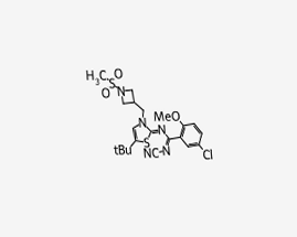 COc1ccc(Cl)cc1C(=NC#N)N=c1sc(C(C)(C)C)cn1CC1CN(S(C)(=O)=O)C1